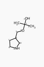 CC(C)(O)OCC1CCNC1